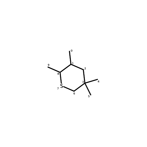 CC1CC(C)(C)CSC1C